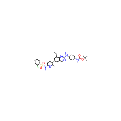 CCc1cc(-c2ccc(NS(=O)(=O)c3ccccc3Cl)nc2C)cc2cnc(NC3CCC(N(C)C(=O)OC(C)(C)C)CC3)nc12